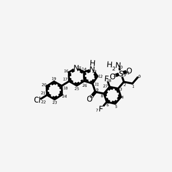 CCC(c1ccc(F)c(C(=O)c2c[nH]c3ncc(-c4ccc(Cl)cc4)cc23)c1F)S(N)(=O)=O